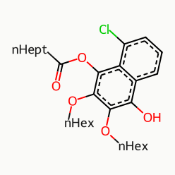 CCCCCCCC(=O)Oc1c(OCCCCCC)c(OCCCCCC)c(O)c2cccc(Cl)c12